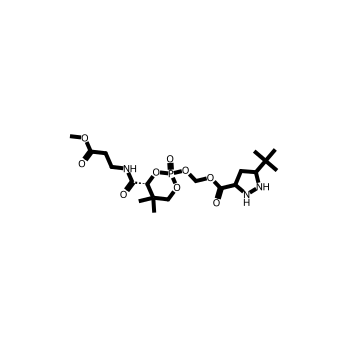 COC(=O)CCNC(=O)[C@@H]1OP(=O)(OCOC(=O)C2CC(C(C)(C)C)NN2)OCC1(C)C